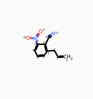 C=CCc1cccc([N+](=O)[O-])c1C#N